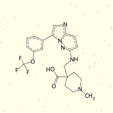 CN1CCC(CNc2ccc3ncc(-c4cccc(OC(F)(F)F)c4)n3n2)(C(=O)O)CC1